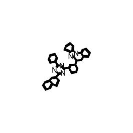 C1=CC(c2nc(-c3ccccc3)nc(-c3ccc4ccccc4c3)n2)=CC(C2Cc3ccccc3-n3c2nc2ccccc23)C1